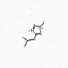 CC(C)=Cc1cn(C)cn1